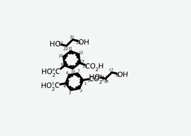 O=C(O)c1ccc(C(=O)O)cc1.O=C(O)c1cccc(C(=O)O)c1.OCCO.OCCO